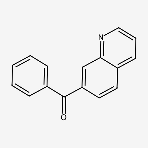 O=C(c1ccccc1)c1ccc2cccnc2c1